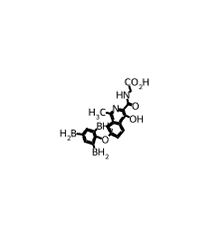 Bc1cc(B)c(Oc2ccc3c(O)c(C(=O)NCC(=O)O)nc(C)c3c2)c(B)c1